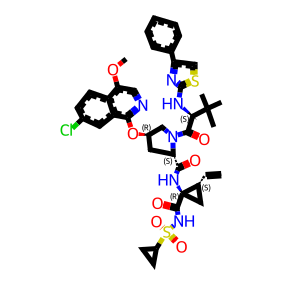 C=C[C@@H]1C[C@]1(NC(=O)[C@@H]1C[C@@H](Oc2ncc(OC)c3ccc(Cl)cc23)CN1C(=O)[C@@H](Nc1nc(-c2ccccc2)cs1)C(C)(C)C)C(=O)NS(=O)(=O)C1CC1